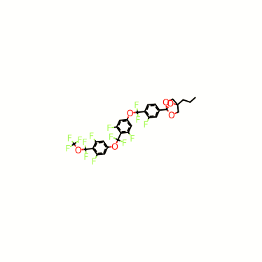 CCCC12COC(c3ccc(C(F)(F)Oc4cc(F)c(C(F)(F)Oc5cc(F)c(C(F)(F)OC(F)(F)F)c(F)c5)c(F)c4)c(F)c3)(OC1)O2